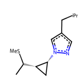 CSC(C)[C@H]1C[C@H]1n1cc(CC(C)C)cn1